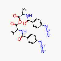 CC(C)C(NC(=O)c1ccc(N=[N+]=[N-])cc1)C(=O)OC(=O)C(NC(=O)c1ccc(N=[N+]=[N-])cc1)C(C)C